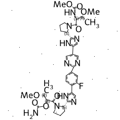 COC(=O)N[C@H](C(=O)N1CCC[C@H]1c1ncc(-c2cnc(-c3ccc(-c4cnc([C@@H]5CCCN5C(=O)[C@@H](OC(N)=O)[C@@H](C)OC)[nH]4)c(F)c3)nc2)[nH]1)[C@@H](C)OC